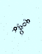 Fc1ccc(Nc2nc(N3CCOCC3)nc(N3CCN(c4ncccc4Cl)CC3)n2)cc1F